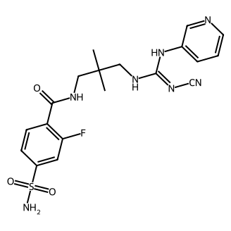 CC(C)(CNC(=O)c1ccc(S(N)(=O)=O)cc1F)CNC(=NC#N)Nc1cccnc1